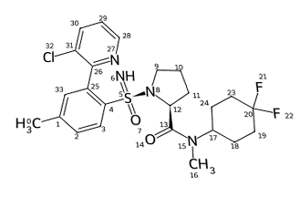 Cc1ccc([S@](=N)(=O)N2CCC[C@H]2C(=O)N(C)C2CCC(F)(F)CC2)c(-c2ncccc2Cl)c1